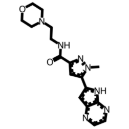 Cn1nc(C(=O)NCCN2CCOCC2)cc1-c1cc2nccnc2[nH]1